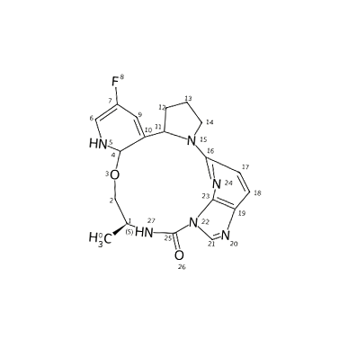 C[C@H]1COC2NC=C(F)C=C2C2CCCN2c2ccc3ncn(c3n2)C(=O)N1